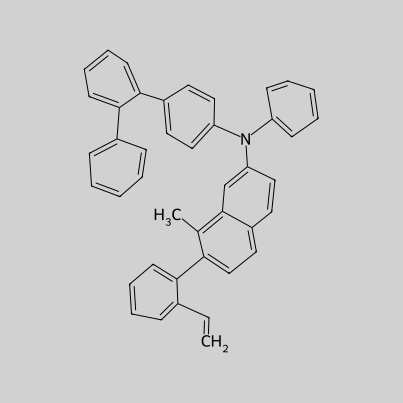 C=Cc1ccccc1-c1ccc2ccc(N(c3ccccc3)c3ccc(-c4ccccc4-c4ccccc4)cc3)cc2c1C